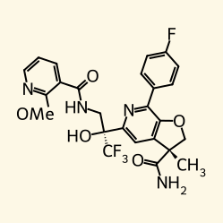 COc1ncccc1C(=O)NC[C@](O)(c1cc2c(c(-c3ccc(F)cc3)n1)OC[C@]2(C)C(N)=O)C(F)(F)F